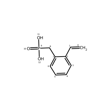 C=Cc1ccccc1CP(=O)(O)O